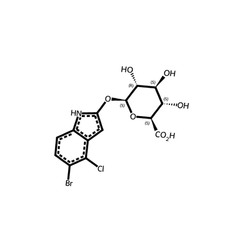 O=C(O)[C@H]1O[C@@H](Oc2cc3c(Cl)c(Br)ccc3[nH]2)[C@H](O)[C@@H](O)[C@@H]1O